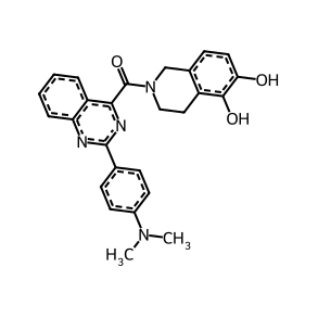 CN(C)c1ccc(-c2nc(C(=O)N3CCc4c(ccc(O)c4O)C3)c3ccccc3n2)cc1